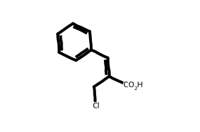 O=C(O)C(=Cc1ccccc1)CCl